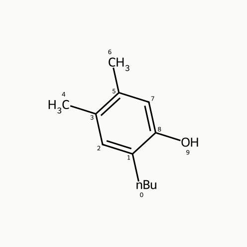 CCCCc1cc(C)c(C)cc1O